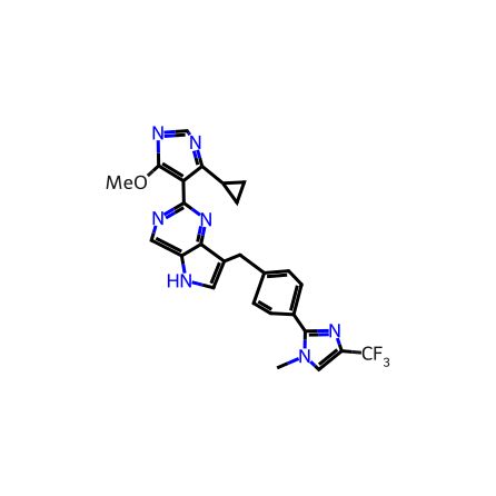 COc1ncnc(C2CC2)c1-c1ncc2[nH]cc(Cc3ccc(-c4nc(C(F)(F)F)cn4C)cc3)c2n1